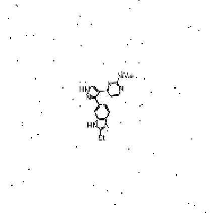 CCc1nc2ccc(-c3n[nH]cc3-c3ccnc(NC)n3)cc2[nH]1